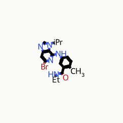 CCNC(=O)c1cc(Nc2nc(Br)cc3ncn(C(C)C)c23)ccc1C